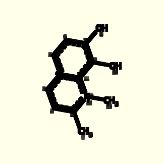 Cc1ccc2ccc(O)c(O)c2[n+]1C